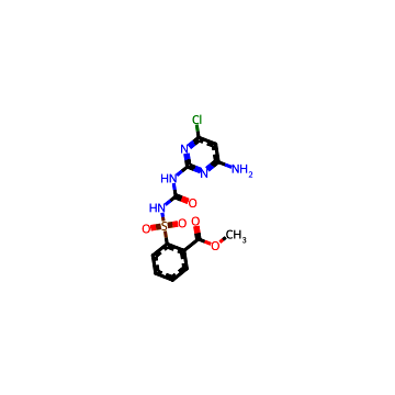 COC(=O)c1ccccc1S(=O)(=O)NC(=O)Nc1nc(N)cc(Cl)n1